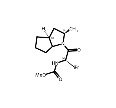 COC(=O)N[C@H](C(=O)N1C2CCC[C@H]2C[C@H]1C)C(C)C